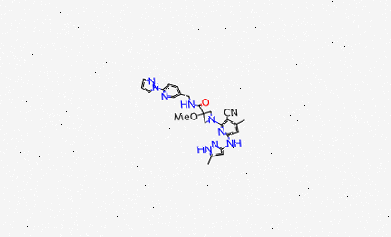 COC1(C(=O)NCc2ccc(-n3cccn3)nc2)CN(c2nc(Nc3cc(C)[nH]n3)cc(C)c2C#N)C1